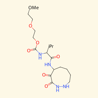 COCCOCCOC(=O)NC(C(=O)NC1CCCCNNC(=O)C1=O)C(C)C